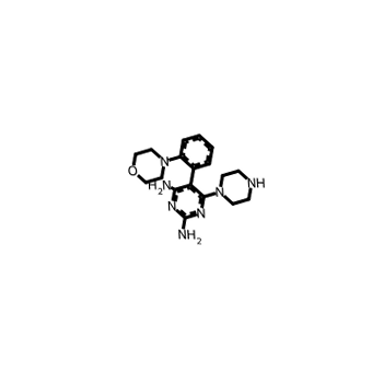 Nc1nc(N)c(-c2ccccc2N2CCOCC2)c(N2CCNCC2)n1